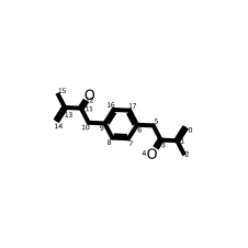 C=C(C)C(=O)Cc1ccc(CC(=O)C(=C)C)cc1